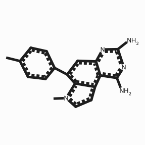 Cc1ccc(-c2cc3nc(N)nc(N)c3c3ccn(C)c23)cc1